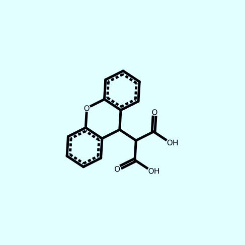 O=C(O)C(C(=O)O)C1c2ccccc2Oc2ccccc21